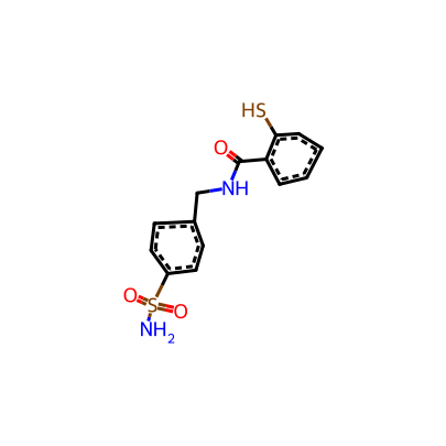 NS(=O)(=O)c1ccc(CNC(=O)c2ccccc2S)cc1